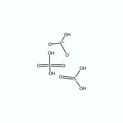 O=S(=O)(O)O.O=S(O)O.[O-][I+2]([O-])O